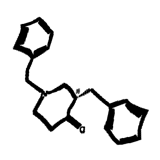 O=C1CCN(Cc2ccccc2)C[C@@H]1Cc1ccccc1